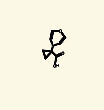 O=C(O)C1(N2C=COC=C2)CC1